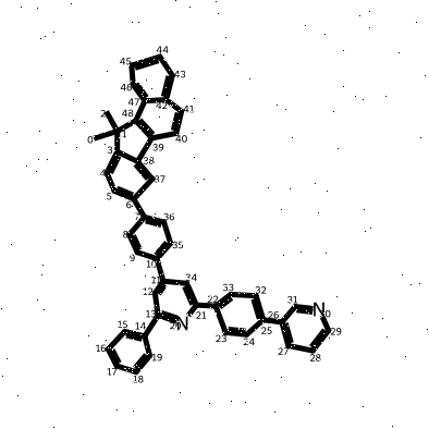 CC1(C)c2ccc(-c3ccc(-c4cc(-c5ccccc5)nc(-c5ccc(-c6cccnc6)cc5)c4)cc3)cc2-c2ccc3ccccc3c21